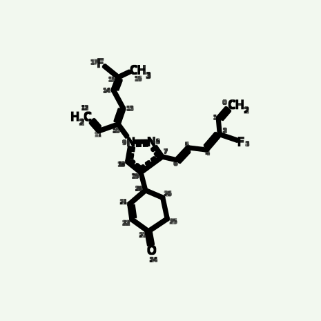 C=C/C(F)=C\C=C\c1nn(/C(C=C)=C/C=C(\C)F)cc1C1C=CC(=O)CC1